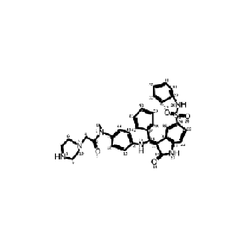 CN(C(=O)CN1CCNCC1)c1ccc(N/C(=C2\C(=O)Nc3ccc(S(=O)(=O)Nc4ccccc4)cc32)c2ccccc2)cc1